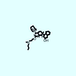 CCCCN(C)CCCOc1nc(N2CC3CCC(C2)N3)c2c(n1)=C(F)C(C)(c1cc(O)cc3ccccc13)CC=2